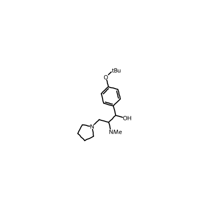 CNC(CN1CCCC1)C(O)c1ccc(OC(C)(C)C)cc1